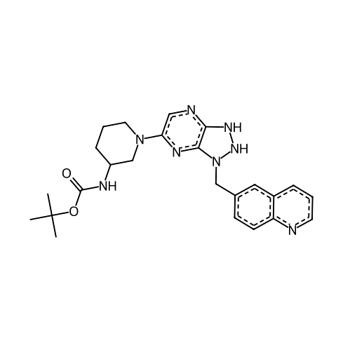 CC(C)(C)OC(=O)NC1CCCN(c2cnc3c(n2)N(Cc2ccc4ncccc4c2)NN3)C1